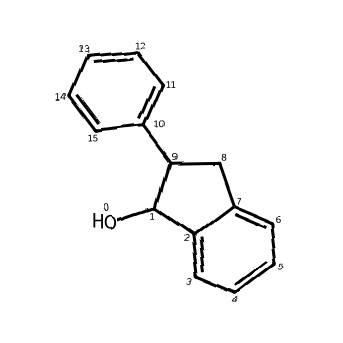 O[C]1c2ccccc2CC1c1ccccc1